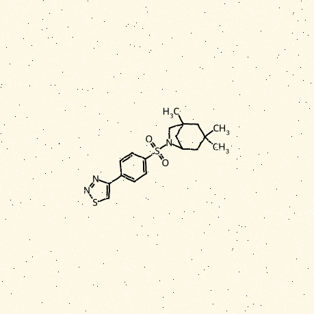 CC1(C)CC2CC(C)(CN2S(=O)(=O)c2ccc(-c3csnn3)cc2)C1